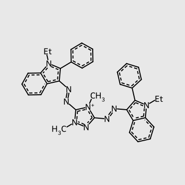 CCn1c(-c2ccccc2)c(N=Nc2nn(C)c(N=Nc3c(-c4ccccc4)n(CC)c4ccccc34)[n+]2C)c2ccccc21